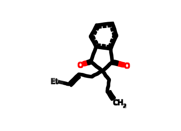 C=CCC1(C/C=C/CC)C(=O)c2ccccc2C1=O